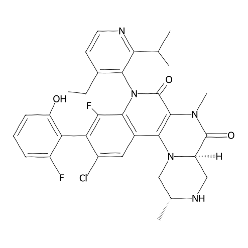 CCc1ccnc(C(C)C)c1-n1c(=O)c2c(c3cc(Cl)c(-c4c(O)cccc4F)c(F)c31)N1C[C@@H](C)NC[C@@H]1C(=O)N2C